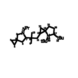 CC(C)N1CC2(CC2)CC1C(C)(C)CC1CC12CCC(C(C)(C)C)N2C(C)(C)C